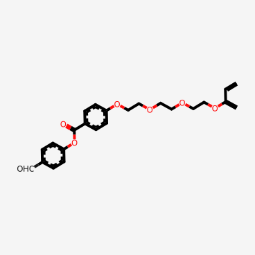 C=CC(=C)OCCOCCOCCOc1ccc(C(=O)Oc2ccc(C=O)cc2)cc1